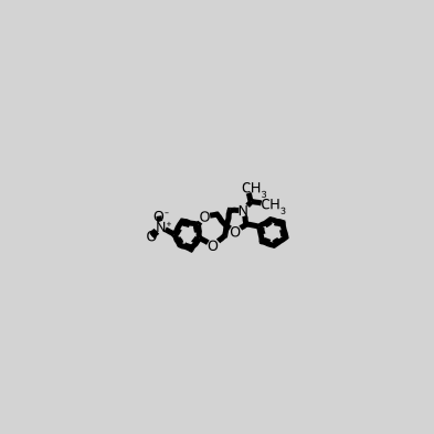 CC(C)N1CC2(COc3ccc([N+](=O)[O-])cc3OC2)OC1c1ccccc1